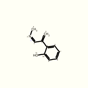 C=C(/C=N\C)c1ccccc1O